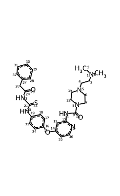 CN(C)CCN1CCN(C(=O)Nc2cc(Oc3ccc(NC(=S)NC(=O)Cc4ccccc4)cc3)ccn2)CC1